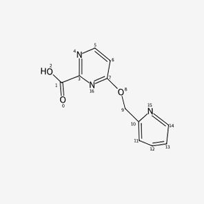 O=C(O)c1nccc(OCc2ccccn2)n1